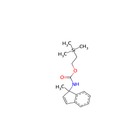 CC1(NC(=O)OCC[Si](C)(C)C)C=Cc2ccccc21